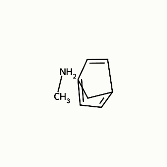 C1=CC2=CC=C1C2.CN